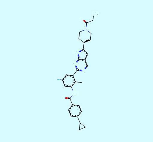 Cc1c(NC(=O)c2ccc(C3CC3)cc2)cc(F)cc1-c1ncc2cc(C3=CCN(C(=O)CC#N)CC3)[nH]c2n1